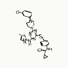 Cc1cnc(Nc2nc(Sc3ccc(NC(=O)C4CC4)cc3)nc(N3CCN(c4cccc(Cl)c4)CC3)n2)s1